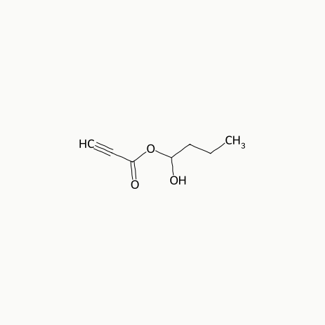 C#CC(=O)OC(O)CCC